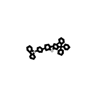 c1ccc(C2(c3ccccc3)c3ccccc3-c3cc4c(cc32)oc2cc(-c3ccc(-n5c6ccccc6c6ccccc65)cc3)ccc24)cc1